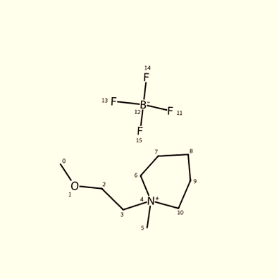 COCC[N+]1(C)CCCCC1.F[B-](F)(F)F